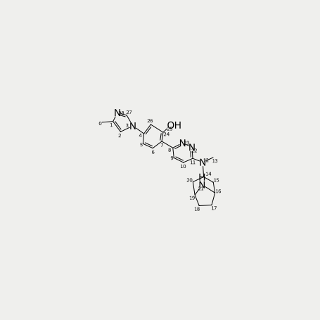 Cc1cn(-c2ccc(-c3ccc(N(C)C4CC5CCC(C4)N5)nn3)c(O)c2)cn1